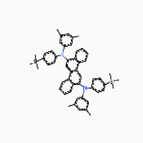 Cc1cc(C)cc(N(c2ccc([Si](C)(C)C)cc2)c2cc3c4ccccc4c(N(c4ccc([Si](C)(C)C)cc4)c4cc(C)cc(C)c4)cc3c3ccccc23)c1